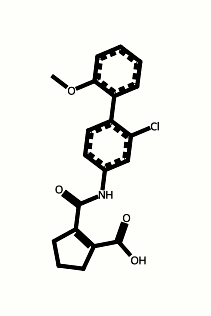 COc1ccccc1-c1ccc(NC(=O)C2=C(C(=O)O)CCC2)cc1Cl